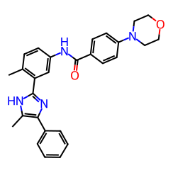 Cc1ccc(NC(=O)c2ccc(N3CCOCC3)cc2)cc1-c1nc(-c2ccccc2)c(C)[nH]1